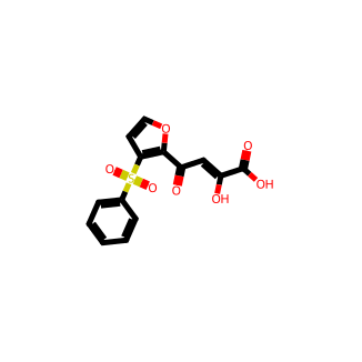 O=C(O)C(O)=CC(=O)c1occc1S(=O)(=O)c1ccccc1